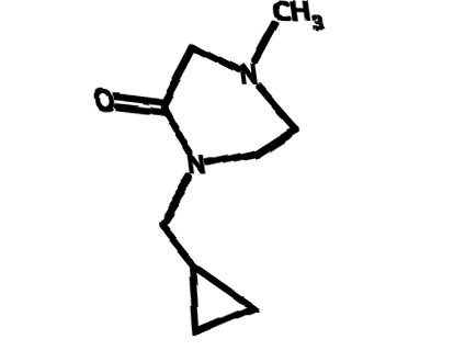 CN1CCN(CC2CC2)C(=O)C1